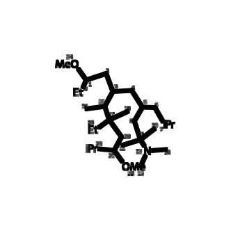 CCC(CC(CC(CC(C)C)CC(C)(C)N(C)C)C(C)C(C)(CC)CC(OC)C(C)C)OC